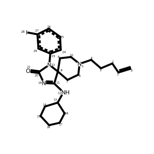 C=CCCCN1CCC2(CC1)C(NC1CCCCC1)=NC(=O)N2c1cccc(I)c1